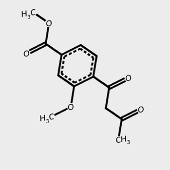 COC(=O)c1ccc(C(=O)CC(C)=O)c(OC)c1